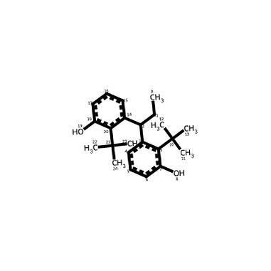 C[C]C(c1cccc(O)c1C(C)(C)C)c1cccc(O)c1C(C)(C)C